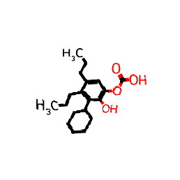 CCCc1cc(OC(=O)O)c(O)c(C2CCCCC2)c1CCC